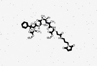 C/C(=C\[C@H](C(C)C)N(C)C(=O)[C@@H](NC(=O)[C@@H](N(C)C(=O)OC(C)(C)C)C(C)(C)c1ccccc1)C(C)(C)C)C(=O)N[C@H](CCC(=O)NCCCN1C(=O)C=CC1=O)C(=O)OC(C)(C)C